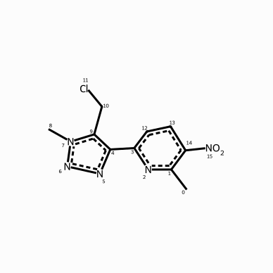 Cc1nc(-c2nnn(C)c2CCl)ccc1[N+](=O)[O-]